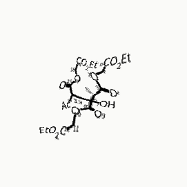 CCOC(=O)COC(=O)CC(O)(C(=O)OCC(=O)OCC)C(C(C)=O)C(=O)OCC(=O)OCC